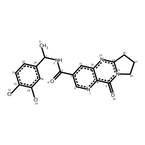 CC(NC(=O)c1cnc2c(=O)n3c(nc2c1)CCC3)c1ccc(Cl)c(Cl)c1